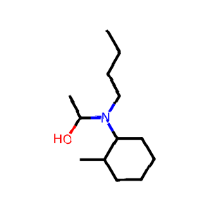 CCCCN(C(C)O)C1CCCCC1C